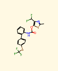 Cc1nc(C(F)F)c(OC(=O)Nc2ccccc2-c2ccc(SC(F)(F)F)cc2)s1